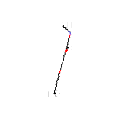 CCCCCC/C=C\CCCCCCCC(=O)OCCCCCCCCCCCCCCCCCCCCCCCCCCC(=O)O